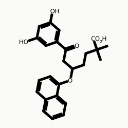 CC(C)(CCC(CC(=O)c1cc(O)cc(O)c1)Oc1cccc2ccccc12)C(=O)O